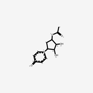 CC(=O)OC1CC(n2ccc(=O)cc2)C(O)C1O